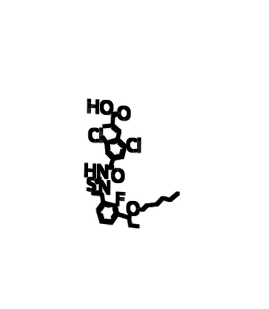 CCCCCCOC(CC)c1cccc(-c2csc(NC(=O)c3cc(Cl)c(C=C(C)C(=O)O)c(Cl)c3)n2)c1F